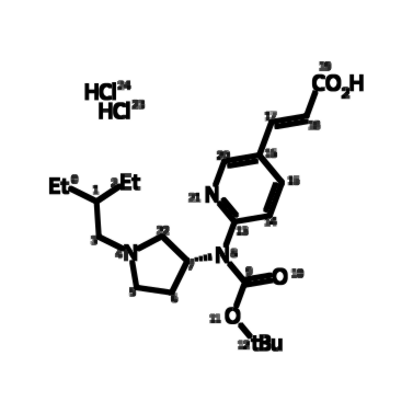 CCC(CC)CN1CC[C@@H](N(C(=O)OC(C)(C)C)c2ccc(/C=C/C(=O)O)cn2)C1.Cl.Cl